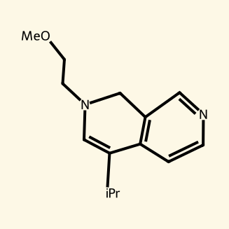 COCCN1C=C(C(C)C)c2ccncc2C1